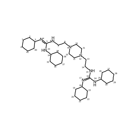 C1CCC(N=C(NCCN2CCN(CCNC(=NC3CCCCC3)NC3CCCCC3)CC2)NC2CCCCC2)CC1